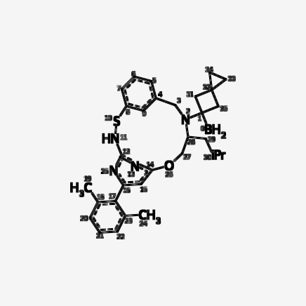 BC1(N2Cc3cccc(c3)SNc3nc(cc(-c4c(C)cccc4C)n3)OCC2CC(C)C)CC2(CC2)C1